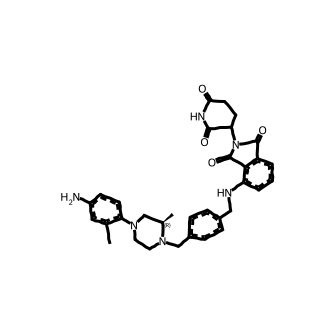 Cc1cc(N)ccc1N1CCN(Cc2ccc(CNc3cccc4c3C(=O)N(C3CCC(=O)NC3=O)C4=O)cc2)[C@H](C)C1